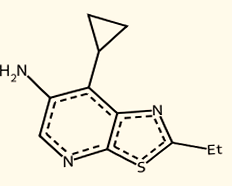 CCc1nc2c(C3CC3)c(N)cnc2s1